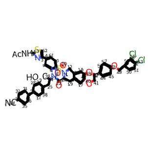 CC(=O)Nc1nc(-c2ccc(S(=O)(=O)N3Cc4cc5c(cc4C[C@H]3C(=O)NC(Cc3ccc(-c4ccc(C#N)cc4)cc3)C(=O)O)OC[C@H](c3ccc(OCc4ccc(Cl)c(Cl)c4)cc3)O5)cc2)cs1